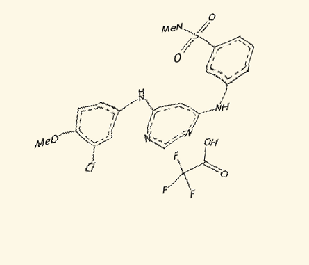 CNS(=O)(=O)c1cccc(Nc2cc(Nc3ccc(OC)c(Cl)c3)ncn2)c1.O=C(O)C(F)(F)F